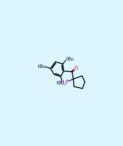 CC(C)(C)c1cc(C(C)(C)C)c(C(=O)C2(P)CCCC2)c(C(C)(C)C)c1